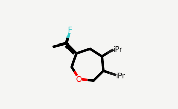 C/C(F)=C1\COCC(C(C)C)C(C(C)C)C1